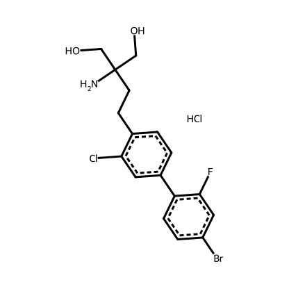 Cl.NC(CO)(CO)CCc1ccc(-c2ccc(Br)cc2F)cc1Cl